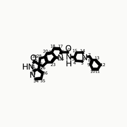 O=C(NC1CCN(Cc2ccccc2)CC1)c1ccc2cc3c(cc2n1)CC1(C3)C(=O)Nc2ncccc21